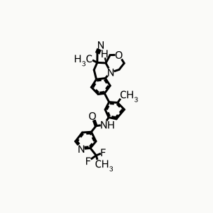 Cc1ccc(NC(=O)c2ccnc(C(C)(F)F)c2)cc1-c1ccc2c(c1)N1CCOC[C@H]1C(C)(C#N)C2